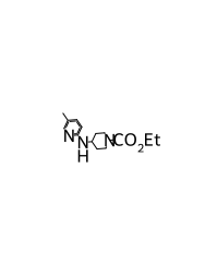 CCOC(=O)N1CCC(Nc2ccc(C)cn2)CC1